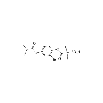 CC(I)C(=O)Oc1ccc(OC(=O)C(F)(F)S(=O)(=O)O)c(Br)c1